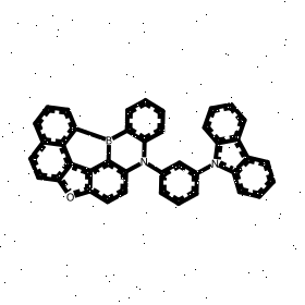 c1cc(N2c3ccccc3B3c4cccc5ccc6oc7ccc2c3c7c6c45)cc(-n2c3ccccc3c3ccccc32)c1